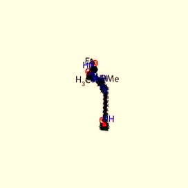 CCC(=O)Nc1cccc(-n2c(=O)cc(C)c3cnc(Nc4ccc(N5CCN(CCCCCCCCCCCCNC(=O)CC67CC8CC(CC(C8)C6)C7)CC5)cc4OC)nc32)c1